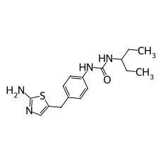 CCC(CC)NC(=O)Nc1ccc(Cc2cnc(N)s2)cc1